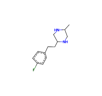 CC1CNC(CCc2ccc(F)cc2)CN1